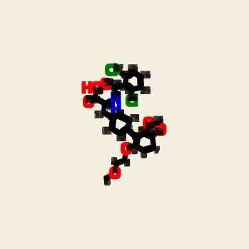 COCCOc1ccc2c(c1-c1ccc(C[C@H](NC(=O)c3c(Cl)cccc3Cl)C(=O)O)cc1)OCO2